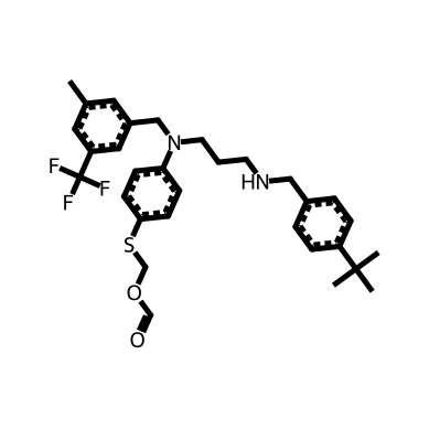 Cc1cc(CN(CCCNCc2ccc(C(C)(C)C)cc2)c2ccc(SCOC=O)cc2)cc(C(F)(F)F)c1